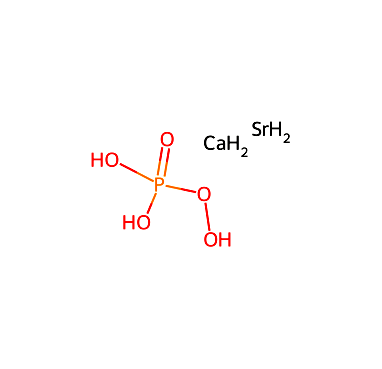 O=P(O)(O)OO.[CaH2].[SrH2]